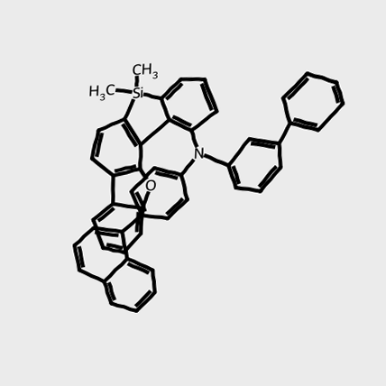 C[Si]1(C)c2cccc(N(c3ccc(-c4cccc5ccccc45)cc3)c3cccc(-c4ccccc4)c3)c2-c2c1ccc1c2oc2ccccc21